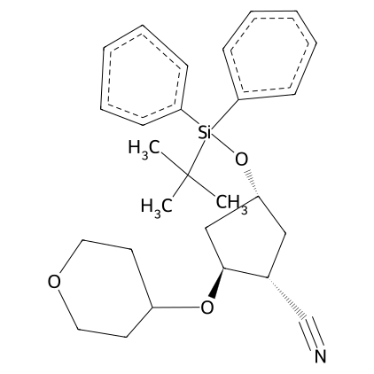 CC(C)(C)[Si](O[C@H]1C[C@H](OC2CCOCC2)[C@@H](C#N)C1)(c1ccccc1)c1ccccc1